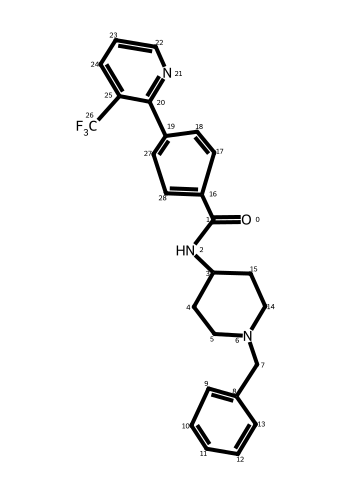 O=C(NC1CCN(Cc2ccccc2)CC1)c1ccc(-c2ncccc2C(F)(F)F)cc1